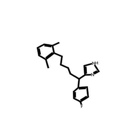 Cc1cccc(C)c1CCCCC(c1ccc(F)cc1)c1c[nH]cn1